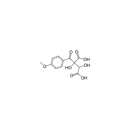 COc1ccc(C(=O)C(O)(C(=O)O)C(O)C(=O)O)cc1